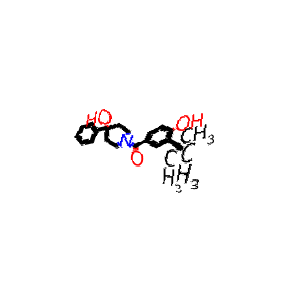 CC(C)(C)c1cc(C(=O)N2CCC(O)(c3ccccc3)CC2)ccc1O